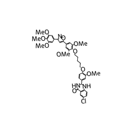 COc1cc(C2NC(=O)c3cc(Cl)ccc3N2)ccc1OCCCCCOc1c(OC)cc(-c2cc(-c3cc(OC)c(OC)c(OC)c3)no2)cc1OC